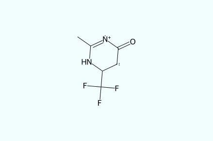 CC1=[N+]C(=O)[C]C(C(F)(F)F)N1